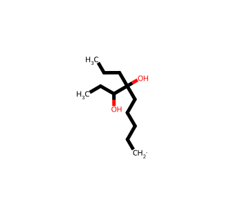 [CH2]CCCCC(O)(CCC)C(O)CC